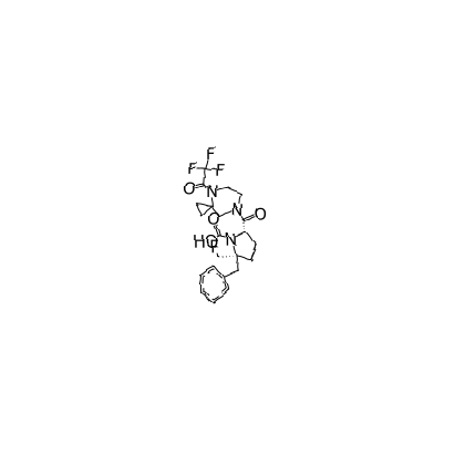 O=C([C@@H]1CC[C@@](CF)(Cc2ccccc2)N1C(=O)O)N1CCN(C(=O)C(F)(F)F)C2(CC2)C1